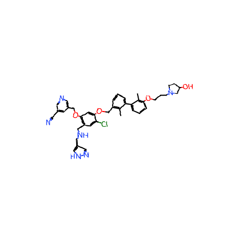 Cc1c(COc2cc(OCc3cncc(C#N)c3)c(CNCc3cn[nH]c3)cc2Cl)cccc1-c1cccc(OCCCN2CCC(O)C2)c1C